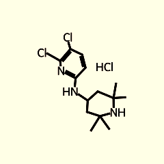 CC1(C)CC(Nc2ccc(Cl)c(Cl)n2)CC(C)(C)N1.Cl